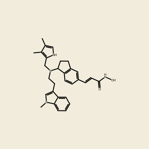 Cc1c[nH]c(CN(CCc2cn(C)c3ccccc23)C2CCc3cc(C=CC(=O)NO)ccc32)c1C